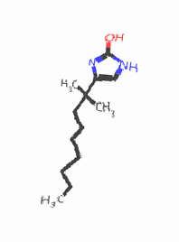 CCCCCCCC(C)(C)c1c[nH]c(O)n1